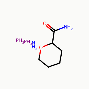 N.NC(=O)C1CCCCO1.P.P